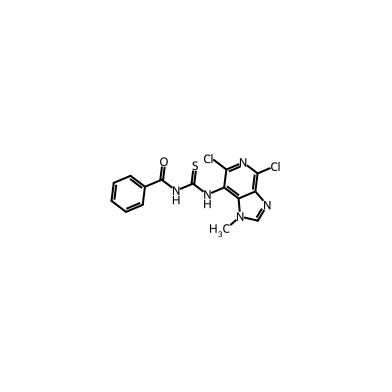 Cn1cnc2c(Cl)nc(Cl)c(NC(=S)NC(=O)c3ccccc3)c21